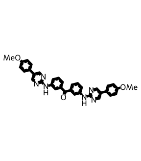 COc1ccc(-c2cnc(Nc3cccc(C(=O)c4cccc(Nc5ncc(-c6ccc(OC)cc6)cn5)c4)c3)nc2)cc1